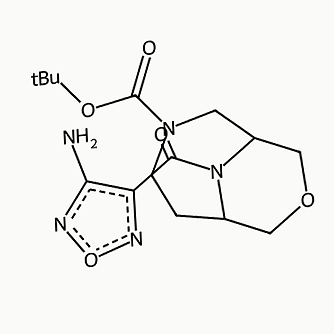 CC(C)(C)OC(=O)N1CCC2COCC(C1)N2C(=O)c1nonc1N